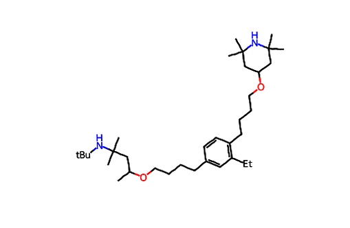 CCc1cc(CCCCOC(C)CC(C)(C)NC(C)(C)C)ccc1CCCCOC1CC(C)(C)NC(C)(C)C1